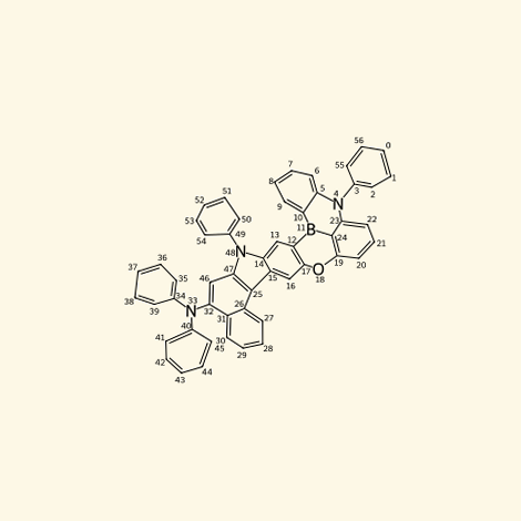 c1ccc(N2c3ccccc3B3c4cc5c(cc4Oc4cccc2c43)c2c3ccccc3c(N(c3ccccc3)c3ccccc3)cc2n5-c2ccccc2)cc1